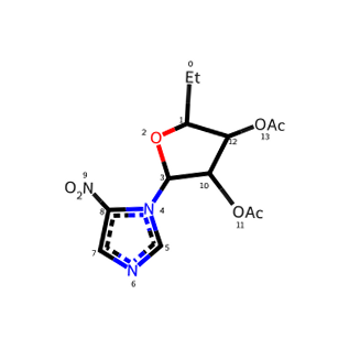 CCC1OC(n2cncc2[N+](=O)[O-])C(OC(C)=O)C1OC(C)=O